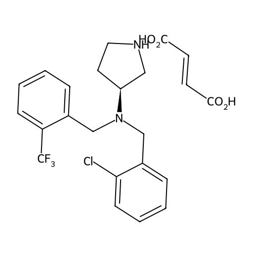 FC(F)(F)c1ccccc1CN(Cc1ccccc1Cl)[C@H]1CCNC1.O=C(O)/C=C/C(=O)O